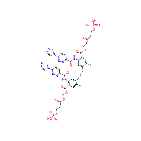 O=C(CCOP(=O)(O)O)OCOC(=O)c1cc(F)c(CCCc2cc(NC(=O)c3ccc(-n4ccnc4)nn3)c(C(=O)OCOC(=O)CCOP(=O)(O)O)cc2F)cc1NC(=O)c1ccc(-n2ccnc2)nn1